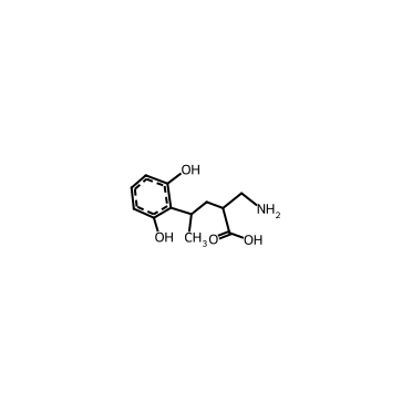 CC(CC(CN)C(=O)O)c1c(O)cccc1O